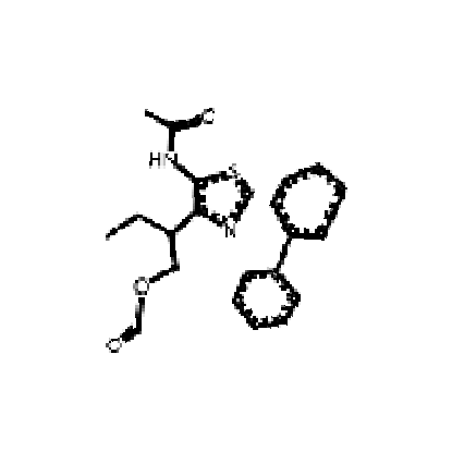 CCC(COC=O)c1ncsc1NC(C)=O.c1ccc(-c2ccccc2)cc1